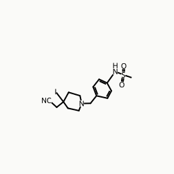 CS(=O)(=O)Nc1ccc(CN2CCC(I)(CC#N)CC2)cc1